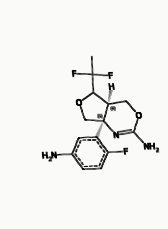 CC(F)(F)C1OC[C@]2(c3cc(N)ccc3F)N=C(N)OC[C@H]12